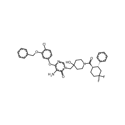 Nc1c(Oc2ccc(Cl)c(OCc3ccccc3)c2)ncn(CC2(O)CCN(C(=O)[C@@H]3CCC(F)(F)C[C@H]3c3ccccc3)CC2)c1=O